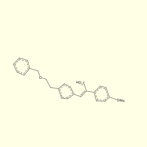 COc1ccc(/C(=C/c2ccc(CCOCc3ccccc3)cc2)C(=O)O)cc1